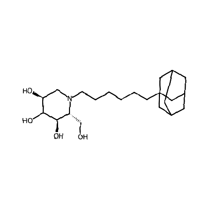 OC[C@@H]1[C@@H](O)C(O)[C@@H](O)CN1CCCCCCC12CC3CC(CC(C3)C1)C2